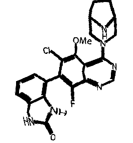 COc1c(Cl)c(-c2cccc3[nH]c(=O)[nH]c23)c(F)c2ncnc(N3CC4CCC(C3)N4)c12